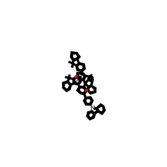 CC1(C)c2ccccc2-c2ccc(N(c3ccc4c(c3)C(C)(C)c3ccccc3-4)c3cccc4c3C3(c5ccccc5Sc5ccc(-c6ccc(-n7c8ccccc8c8ccccc87)cc6)cc53)c3ccccc3-4)cc21